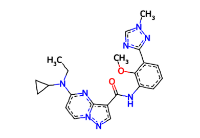 CCN(c1ccn2ncc(C(=O)Nc3cccc(-c4ncn(C)n4)c3OC)c2n1)C1CC1